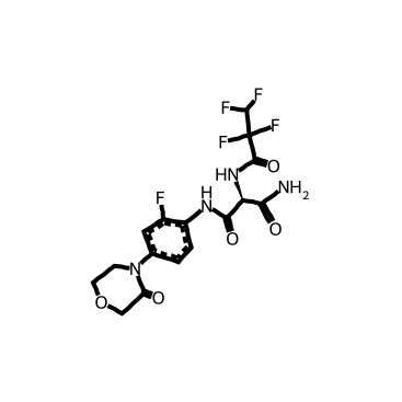 NC(=O)[C@H](NC(=O)C(F)(F)C(F)F)C(=O)Nc1ccc(N2CCOCC2=O)cc1F